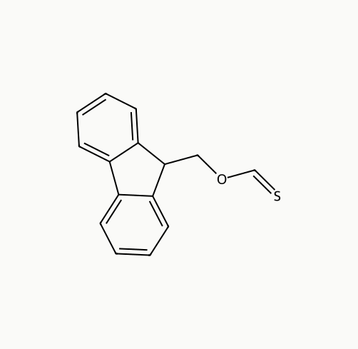 S=COCC1c2ccccc2-c2ccccc21